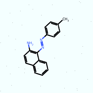 Cc1ccc(/N=N/c2c(N)ccc3ccccc23)cc1